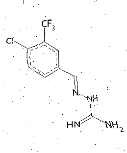 N=C(N)N/N=C/c1ccc(Cl)c(C(F)(F)F)c1